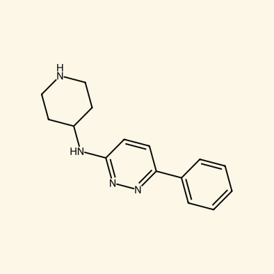 c1ccc(-c2ccc(NC3CCNCC3)nn2)cc1